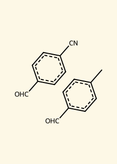 Cc1ccc(C=O)cc1.N#Cc1ccc(C=O)cc1